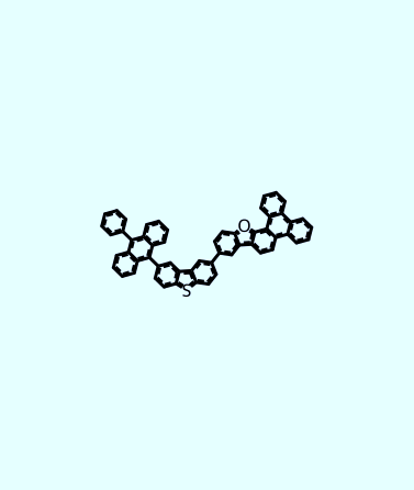 c1ccc(-c2c3ccccc3c(-c3ccc4sc5ccc(-c6ccc7oc8c(ccc9c%10ccccc%10c%10ccccc%10c98)c7c6)cc5c4c3)c3ccccc23)cc1